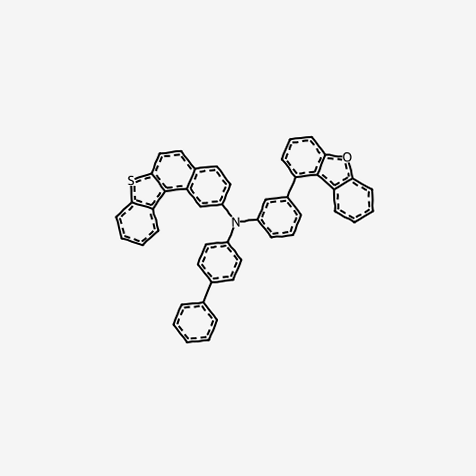 c1ccc(-c2ccc(N(c3cccc(-c4cccc5oc6ccccc6c45)c3)c3ccc4ccc5sc6ccccc6c5c4c3)cc2)cc1